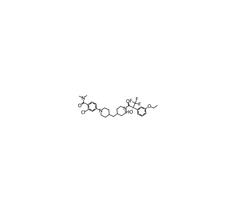 CCOc1cccc([C@@](O)(C(=O)N2CCC(CC3CCN(c4ccc(C(=O)N(C)C)c(Cl)c4)CC3)CC2)C(F)(F)F)c1